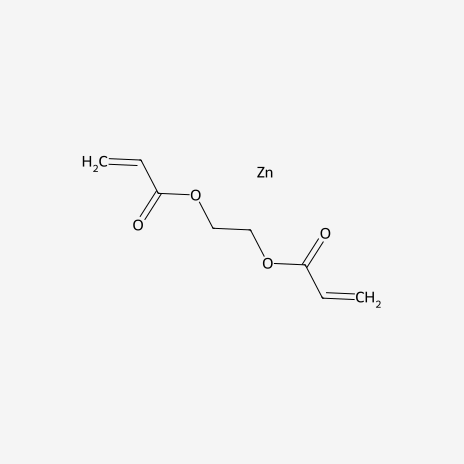 C=CC(=O)OCCOC(=O)C=C.[Zn]